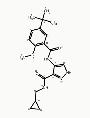 COc1ccc(C(C)(C)C)cc1C(=O)Nc1c[nH]nc1C(=O)NCC1CC1